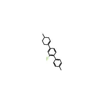 Cc1ccc(-c2ccc(C3=CCC(C)CC3)cc2F)cc1